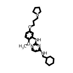 COc1ccc(OCCCN2CCCC2)cc1Nc1nccc(NCC2CCCCC2)n1